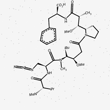 CC[C@H](C)[C@@H]([C@@H](CC(=O)N1CCC[C@H]1[C@H](OC)[C@@H](C)C(=O)N[C@@H](Cc1ccccc1)C(=O)O)OC)N(C)C(=O)[C@H](CN=[N+]=[N-])NC(=O)[C@@H](NC)C(C)C